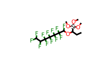 CCC(OC(F)C(F)(F)C(F)(F)C(F)(F)C(F)(F)C(F)C(F)F)[Si](OC)(OC)OC